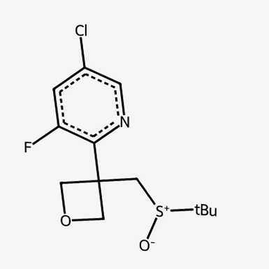 CC(C)(C)[S+]([O-])CC1(c2ncc(Cl)cc2F)COC1